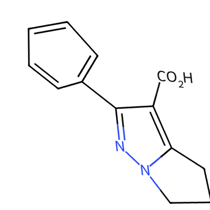 O=C(O)c1c(-c2ccccc2)nn2c1CCC2